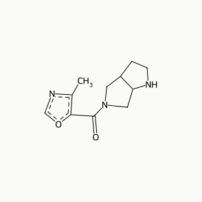 Cc1ncoc1C(=O)N1CC2CCNC2C1